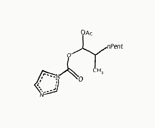 CCCCCC(C)C(OC(C)=O)OC(=O)n1ccnc1